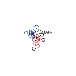 C#C[C@@]1(OC(=O)c2ccccc2)[C@H](OC(=O)c2ccccc2)[C@@H](COC(=O)c2ccccc2)O[C@H]1n1cnc2c(Cl)nc(NC(c3ccccc3)(c3ccccc3)c3ccc(OC)cc3)nc21